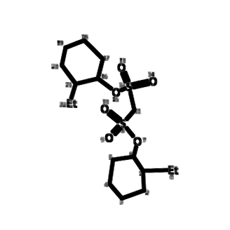 CCC1CCCCC1OS(=O)(=O)CS(=O)(=O)OC1CCCCC1CC